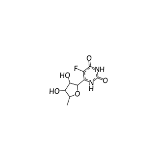 CC1OC(c2[nH]c(=O)[nH]c(=O)c2F)C(O)C1O